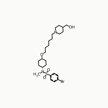 CN([C@H]1CC[C@H](OCCCCCCN2CCC(CO)CC2)CC1)S(=O)(=O)c1ccc(Br)cc1